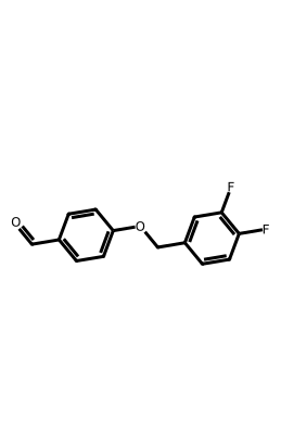 O=Cc1ccc(OCc2ccc(F)c(F)c2)cc1